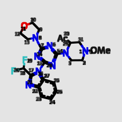 CON1CCN(c2nc(N3CCOCC3)nc(-n3c(C(F)F)nc4ccccc43)n2)C(C(C)=O)C1